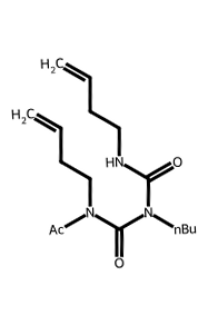 C=CCCNC(=O)N(CCCC)C(=O)N(CCC=C)C(C)=O